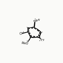 COc1c(Cl)cc([NH])cc1Cl